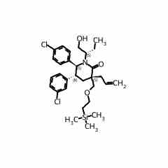 C=CC[C@@]1(COCC[Si](C)(C)C)C[C@H](c2cccc(Cl)c2)[C@@H](c2ccc(Cl)cc2)N([C@@H](CC)CO)C1=O